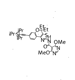 CCC1(CC)Oc2cc(C#C[Si](C(C)C)(C(C)C)C(C)C)ccc2-c2nc(NC(=O)c3c(OC)ncnc3OC)sc21